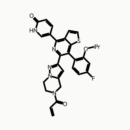 C=CC(=O)N1CCn2nc(-c3nc(-c4ccc(=O)[nH]c4)c4ccsc4c3-c3ccc(F)cc3OC(C)C)cc2C1